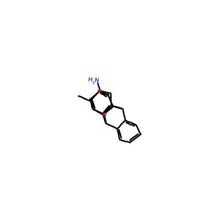 Cc1ccc2c(c1)C1c3ccccc3C2c2cc(N)ccc21